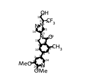 COc1cc(-c2cc(C)c3c(c2)CN(c2cnn([C@@H](CO)C(F)(F)F)c2)C3=O)cnc1OC